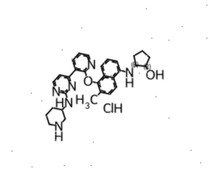 Cc1ccc2c(N[C@@H]3CCC[C@H]3O)cccc2c1Oc1ncccc1-c1ccnc(NC2CCCNC2)n1.Cl